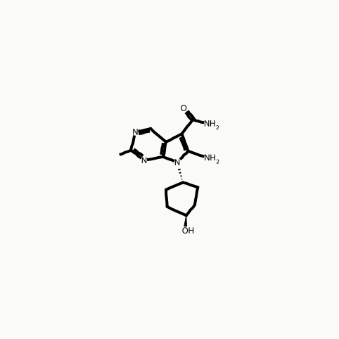 Cc1ncc2c(C(N)=O)c(N)n([C@H]3CC[C@H](O)CC3)c2n1